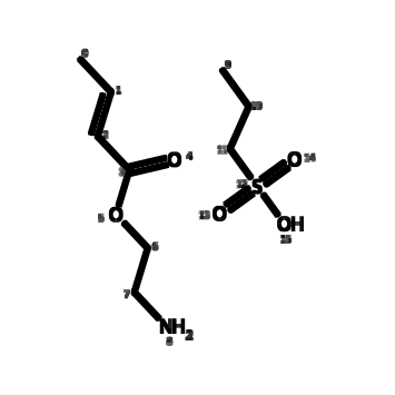 CC=CC(=O)OCCN.CCCS(=O)(=O)O